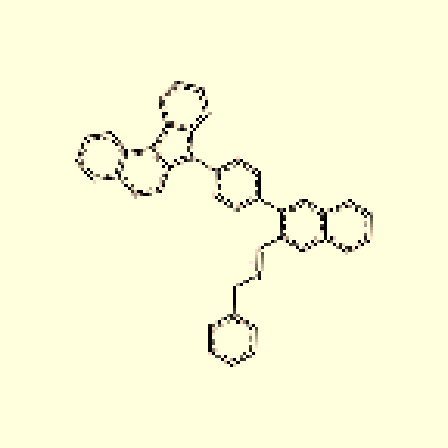 C(=N\Cc1ccccc1)/c1cc2ccccc2cc1-c1ccc(-n2c3ccccc3c3c4ccccc4ccc32)cc1